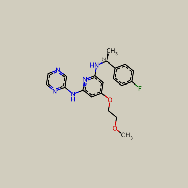 COCCOc1cc(Nc2cnccn2)nc(N[C@@H](C)c2ccc(F)cc2)c1